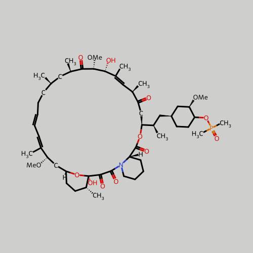 CO[C@H]1C[C@@H]2CC[C@@H](C)[C@@](O)(O2)C(=O)C(=O)N2CCCC[C@H]2C(=O)O[C@H]([C@H](C)C[C@@H]2CCC(OP(C)(C)=O)[C@H](OC)C2)CC(=O)[C@H](C)/C=C(\C)[C@@H](O)[C@@H](OC)C(=O)[C@H](C)C[C@H](C)CC/C=C/C=C/1C